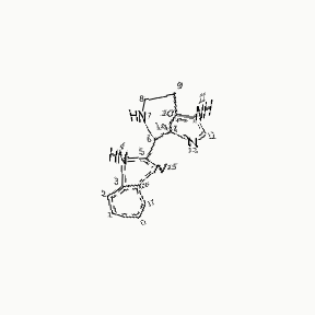 c1ccc2[nH]c(C3NCCc4[nH]cnc43)nc2c1